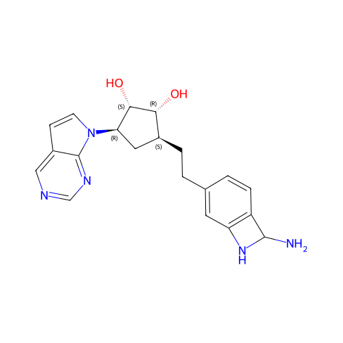 NC1Nc2cc(CC[C@H]3C[C@@H](n4ccc5cncnc54)[C@H](O)[C@@H]3O)ccc21